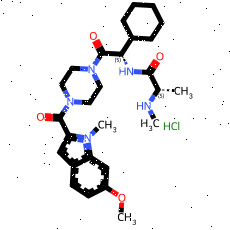 CN[C@@H](C)C(=O)N[C@H](C(=O)N1CCN(C(=O)c2cc3ccc(OC)cc3n2C)CC1)C1CCCCC1.Cl